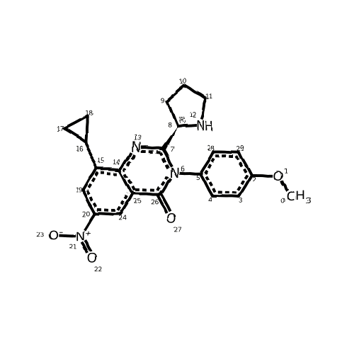 COc1ccc(-n2c([C@H]3CCCN3)nc3c(C4CC4)cc([N+](=O)[O-])cc3c2=O)cc1